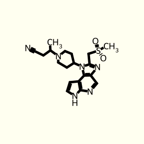 CC(CC#N)N1CCC(n2c(CS(C)(=O)=O)nc3cnc4[nH]ccc4c32)CC1